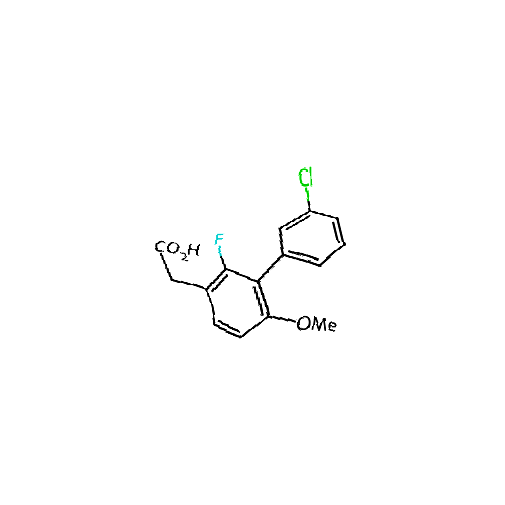 COc1ccc(CC(=O)O)c(F)c1-c1cccc(Cl)c1